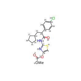 COC(=O)Oc1csc(NC(=O)C(CC2CCCC2)c2ccc(Cl)cc2)n1